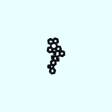 c1ccc(-c2nc3cc4c(cc3nc2-n2c3cccc5c3c3c(cccc32)-c2cccc3cccc-5c23)oc2ccccc24)cc1